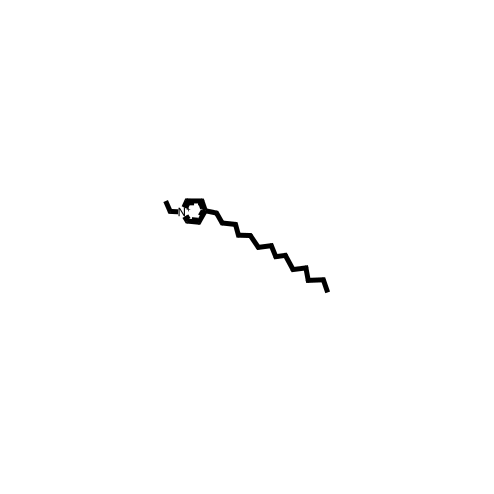 CCCCCCCCCCCCCCc1cc[n+](CC)cc1